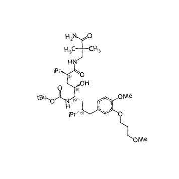 COCCCOc1cc(C[C@@H](C[C@H](NC(=O)OC(C)(C)C)[C@H](O)C[C@H](C(=O)NCC(C)(C)C(N)=O)C(C)C)C(C)C)ccc1OC